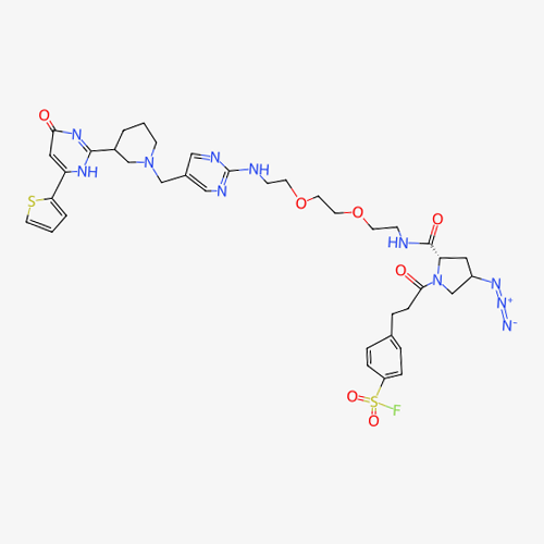 [N-]=[N+]=NC1C[C@@H](C(=O)NCCOCCOCCNc2ncc(CN3CCCC(c4nc(=O)cc(-c5cccs5)[nH]4)C3)cn2)N(C(=O)CCc2ccc(S(=O)(=O)F)cc2)C1